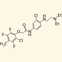 CCN(CC)CCNc1ccc(NC(=O)COc2c(F)c(F)c(C)c(F)c2Cl)cc1Cl